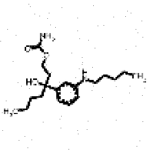 CCCCCNc1cccc(C(O)(CCCC)CCOC(N)=O)c1